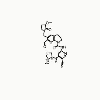 COC1CCN(Cc2cc3c(nc2C=O)N(C(=O)Nc2cc(N[C@@H]4COC[C@H]4OC)c(C#N)cn2)CCC3)C1=O